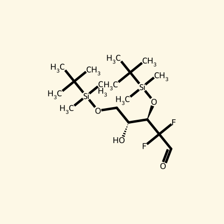 CC(C)(C)[Si](C)(C)OC[C@@H](O)[C@@H](O[Si](C)(C)C(C)(C)C)C(F)(F)C=O